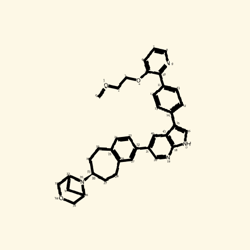 COCCOc1cccnc1-c1ccc(-c2c[nH]c3ncc(-c4ccc5c(c4)CC[C@@H](N4C6COCC4C6)CC5)cc23)cc1